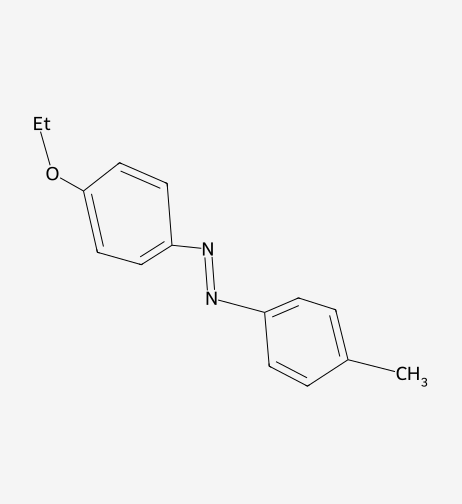 CCOc1ccc(N=Nc2ccc(C)cc2)cc1